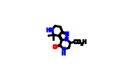 CC1(C)NCCc2nn3c(c21)C(=O)NCC3C(=O)O